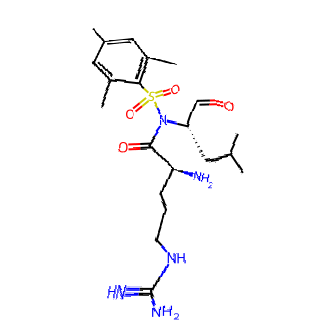 Cc1cc(C)c(S(=O)(=O)N(C(=O)[C@@H](N)CCCNC(=N)N)[C@H](C=O)CC(C)C)c(C)c1